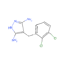 Nc1n[nH]c(N)c1Cc1cccc(Cl)c1Cl